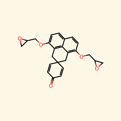 O=C1C=CC2(C=C1)Cc1c(OCC3CO3)ccc3ccc(OCC4CO4)c(c13)C2